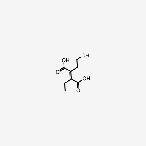 CCC(C(=O)O)=C(CCO)C(=O)O